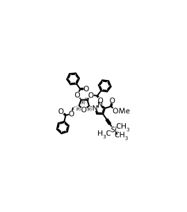 COC(=O)c1nn([C@@H]2O[C@H](COC(=O)c3ccccc3)[C@@H](OC(=O)c3ccccc3)[C@H]2OC(=O)c2ccccc2)cc1C#C[Si](C)(C)C